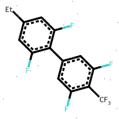 CCc1cc(F)c(-c2cc(F)c(C(F)(F)F)c(F)c2)c(F)c1